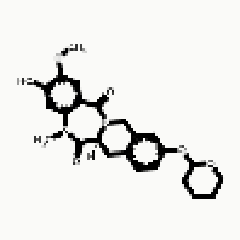 COc1cc2c(cc1O)N(C)C(=O)[C@@H]1Cc3ccc(OC4CCCCO4)cc3CN1C2=O